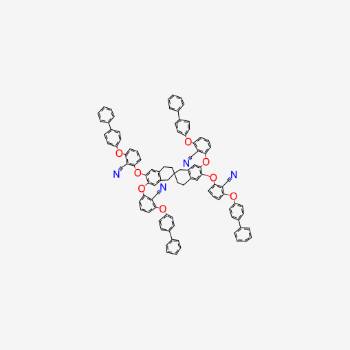 N#Cc1c(Oc2ccc(-c3ccccc3)cc2)cccc1Oc1cc2c(cc1Oc1cccc(Oc3ccc(-c4ccccc4)cc3)c1C#N)CC1(CC2)CCc2cc(Oc3cccc(Oc4ccc(-c5ccccc5)cc4)c3C#N)c(Oc3cccc(Oc4ccc(-c5ccccc5)cc4)c3C#N)cc2C1